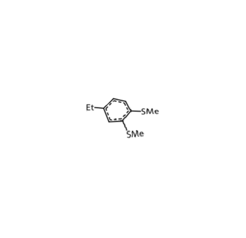 [CH2]Cc1ccc(SC)c(SC)c1